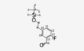 CC(C)(C)[Si](C)(C)OCCc1ccc(F)c(C=O)c1